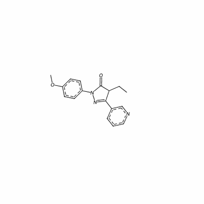 CCC1C(=O)N(c2ccc(OC)cc2)N=C1c1cccnc1